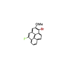 COc1cc2cc(F)c3cccc4ccc(c1Br)c2c43